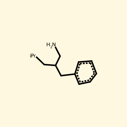 CC(C)CC(CN)Cc1ccccc1